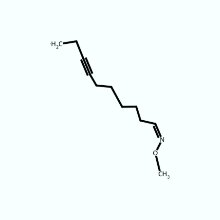 [CH2]CC#CCCCCC/C=N\OC